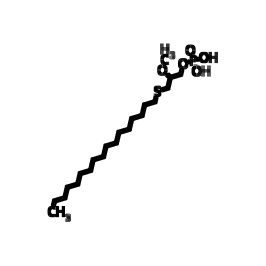 CCCCCCCCCCCCCCCCCSCC(COP(=O)(O)O)OC